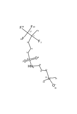 CC(F)(CCCS(=O)(=O)NCCC[N+](C)(C)[O-])C(F)(F)F